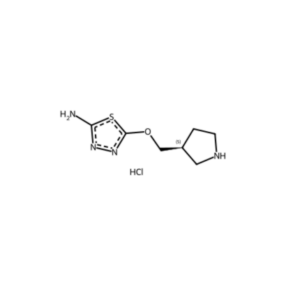 Cl.Nc1nnc(OC[C@H]2CCNC2)s1